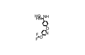 N=C(NO)c1ccc(Oc2ccc(OC(F)F)cn2)cc1